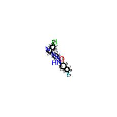 O=C(NC1CCc2ccc(F)cc2CC1)N1CCN(c2ccnc3cc(Cl)ccc23)CC1